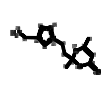 CC1=CC(=O)OC(C)(CCn2cc(CN)cn2)O1